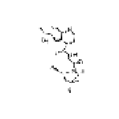 CC(O)c1ccc2nccc(C(=O)NCC(=O)N3[C@H](C#N)C[C@@H]4C[C@@H]43)c2c1